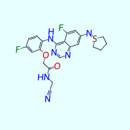 N#CCNC(=O)COc1cc(F)ccc1Nc1ncnc2cc(N=S3CCCC3)cc(F)c12